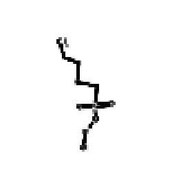 CCCCCS(=O)(=O)OBO